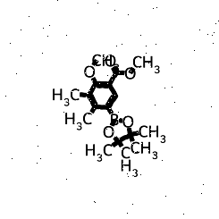 COC(=O)c1cc(B2OC(C)(C)C(C)(C)O2)c(C)c(C)c1OC